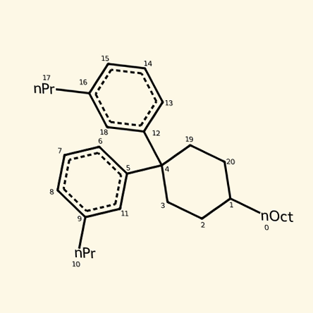 CCCCCCCCC1CCC(c2cccc(CCC)c2)(c2cccc(CCC)c2)CC1